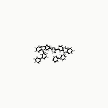 c1ccc(-c2cccc(N3c4ccccc4Sc4ccc(-c5nsc(-c6ccc7c(c6)N(c6cccc(-c8ccccc8)c6)c6ccccc6S7)n5)cc43)c2)cc1